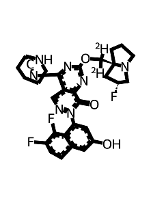 [2H]C([2H])(Oc1nc(N2CC3CCC2CN3)c2cnn(-c3cc(O)cc4ccc(F)c(F)c34)c(=O)c2n1)[C@@]12CCCN1C[C@H](F)C2